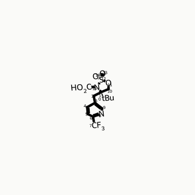 CC(C)(C)[C@@]1(Cc2ccc(C(F)(F)F)nc2)COS(=O)(=O)N1C(=O)O